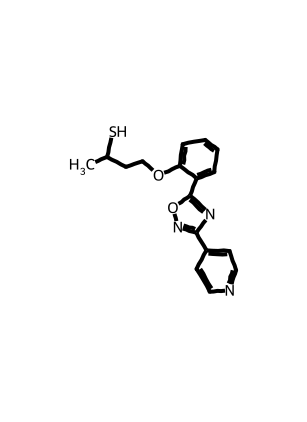 CC(S)CCOc1ccccc1-c1nc(-c2ccncc2)no1